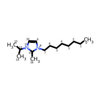 CCCCCCCCN1C=CN(C(C)C)C1C